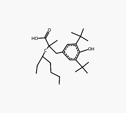 CCCCC(CC)CC(C)(Cc1cc(C(C)(C)C)c(O)c(C(C)(C)C)c1)C(=O)O